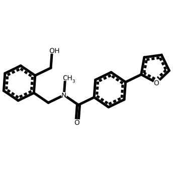 CN(Cc1ccccc1CO)C(=O)c1ccc(-c2ccco2)cc1